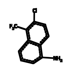 Nc1cccc2c(C(F)(F)F)c(Cl)ccc12